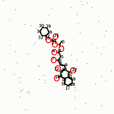 CC(OC(=O)CC(=O)c1cc2c(o1)C(=O)c1ccccc1C2=O)OC(=O)OC1CCCCC1